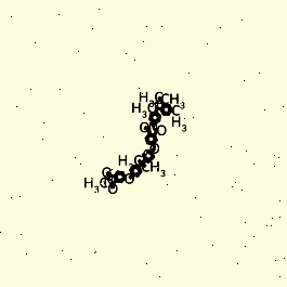 Cc1ccc2c(c1)C(C)(C)CC2(C)c1ccc(N2C(=O)c3ccc(Oc4ccc(C(C)(C)c5ccc(Oc6ccc7c(c6)C(=O)N(C)C7=O)cc5)cc4)cc3C2=O)cc1